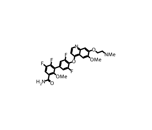 CNCCOc1cc2nccc(Oc3c(F)cc(-c4c(F)c(F)cc(C(N)=O)c4OC)cc3F)c2cc1OC